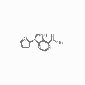 CCCCNc1ncnc2c1NCN2C1CCCO1